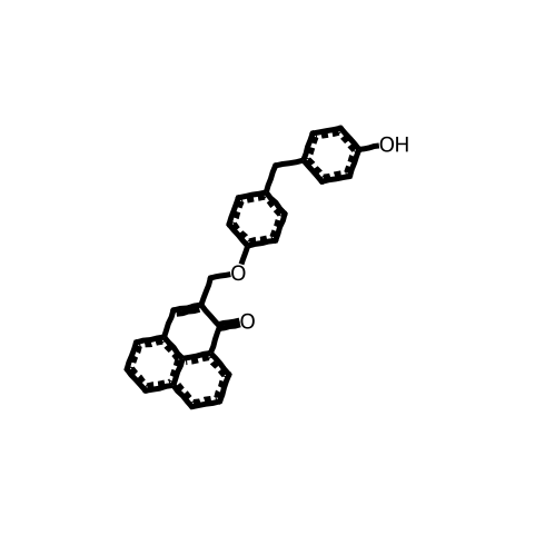 O=C1C(COc2ccc(Cc3ccc(O)cc3)cc2)=Cc2cccc3cccc1c23